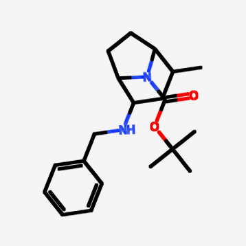 CC1CC(NCc2ccccc2)C2CCC1N2C(=O)OC(C)(C)C